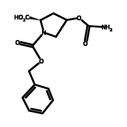 NC(=O)OC1C[C@@H](C(=O)O)N(C(=O)OCc2ccccc2)C1